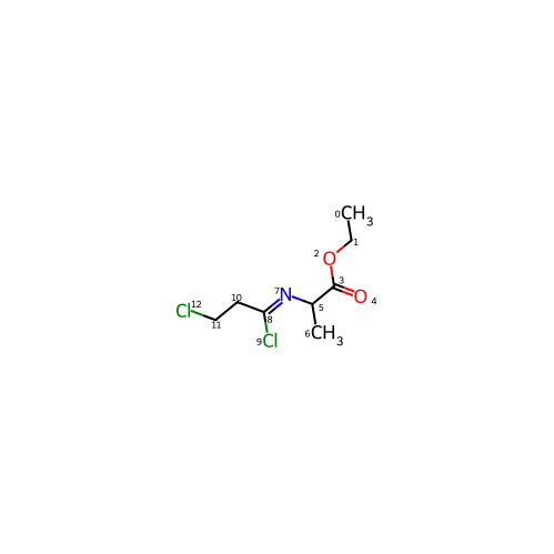 CCOC(=O)C(C)N=C(Cl)CCCl